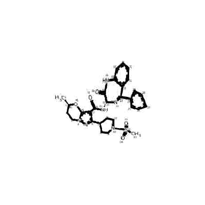 C[C@@H]1CCn2nc(C3CCN(S(C)(=O)=O)CC3)c(C(=O)N[C@H]3N=C(c4ccccc4)c4ccccc4NC3=O)c2O1